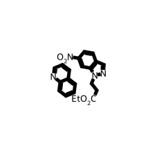 CCOC(=O)CCn1ncc2ccc([N+](=O)[O-])cc21.c1ccc2ncccc2c1